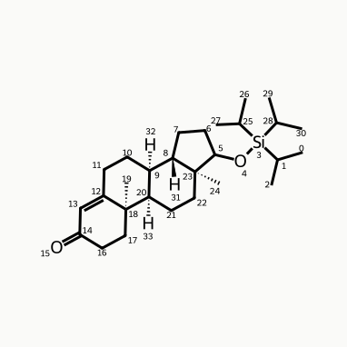 CC(C)[Si](OC1CC[C@H]2[C@@H]3CCC4=CC(=O)CC[C@]4(C)[C@@H]3CC[C@]12C)(C(C)C)C(C)C